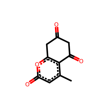 Cc1cc(=O)oc2c1C(=O)CC(=O)C2